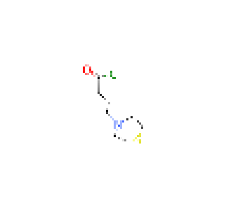 O=C(Cl)CCCN1CCSCC1